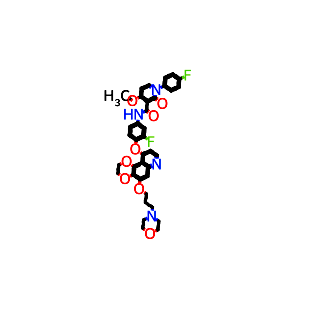 COc1ccn(-c2ccc(F)cc2)c(=O)c1C(=O)Nc1ccc(Oc2ccnc3cc(OCCCN4CCOCC4)c4c(c23)OCCO4)c(F)c1